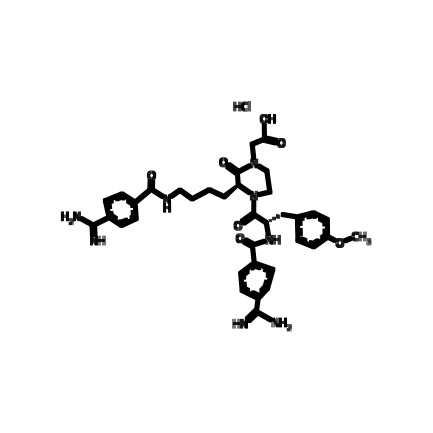 COc1ccc(C[C@H](NC(=O)c2ccc(C(=N)N)cc2)C(=O)N2CCN(CC(=O)O)C(=O)[C@@H]2CCCCNC(=O)c2ccc(C(=N)N)cc2)cc1.Cl